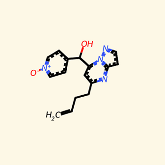 C=CCCc1cc(C(O)c2cc[n+]([O-])cc2)n2nccc2n1